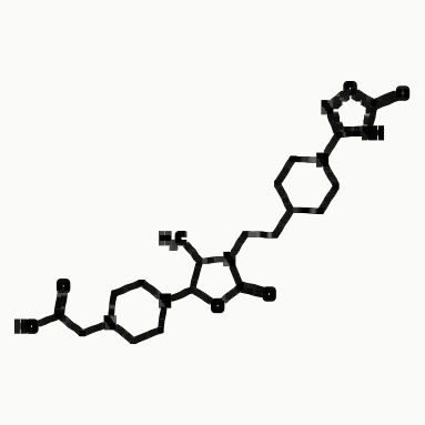 CC1C(N2CCN(CC(=O)O)CC2)OC(=O)N1CCC1CCN(c2noc(=O)[nH]2)CC1